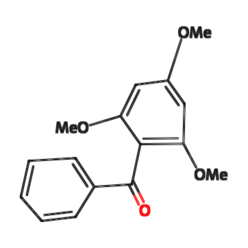 COc1cc(OC)c(C(=O)c2ccccc2)c(OC)c1